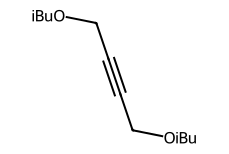 CC(C)COCC#CCOCC(C)C